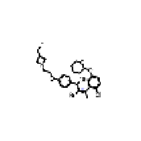 C/C(=C(\Br)C(O)c1ccc(OCCN2CC(CF)C2)cc1)c1cc(OC2CCCCO2)ccc1O